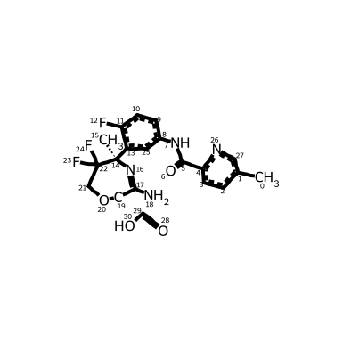 Cc1ccc(C(=O)Nc2ccc(F)c([C@@]3(C)N=C(N)COCC3(F)F)c2)nc1.O=CO